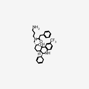 NCCCN(C[C@H]1CC[C@@H]2[C@H](O1)c1cc(C(F)(F)F)ccc1N[C@H]2C1C=CC=CC1)C(=O)Cc1ccccc1